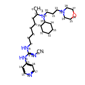 CC(CCCCCCNC(=NC#N)Nc1ccncc1)N(CCCN1CCOCC1)C1CCCCC1